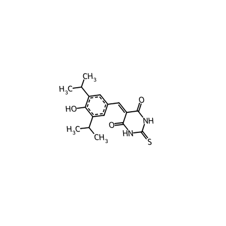 CC(C)c1cc(C=C2C(=O)NC(=S)NC2=O)cc(C(C)C)c1O